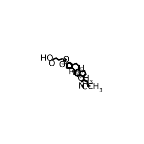 Cc1cncc(C2=CC[C@H]3[C@@H]4CCc5cc(S(=O)(=O)CCCC(=O)O)ccc5[C@H]4CC[C@]23C)c1